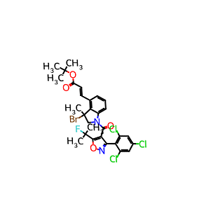 CC(C)(C)OC(=O)/C=C/c1cccc2c1C(C)(Br)CN2C(=O)c1c(-c2c(Cl)cc(Cl)cc2Cl)noc1C(C)(C)F